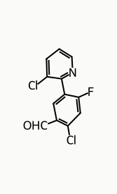 O=Cc1cc(-c2ncccc2Cl)c(F)cc1Cl